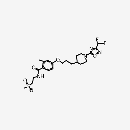 Cc1cc(OCCCC2CCN(c3nc(C(F)F)no3)CC2)ccc1C(=O)NCCS(C)(=O)=O